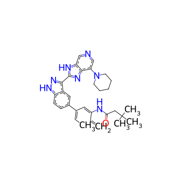 C=C/C(=C\C(=C/C)c1ccc2[nH]nc(-c3nc4c(N5CCCCC5)cncc4[nH]3)c2c1)NC(=O)CC(C)(C)C